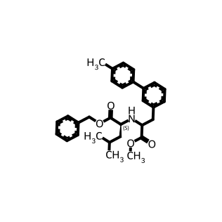 COC(=O)C(Cc1cccc(-c2ccc(C)cc2)c1)N[C@@H](CC(C)C)C(=O)OCc1ccccc1